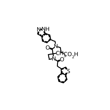 CC1(C(=O)N(CCC(=O)O)Cc2ccc3cn[nH]c3c2)CCN1C(=O)Cc1csc2ccccc12